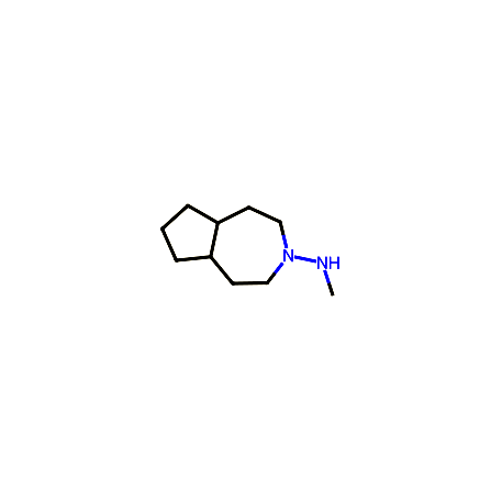 CNN1CCC2CCCC2CC1